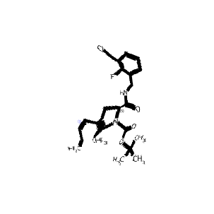 C=C/C=C\C1=C(C)N(C(=O)OC(C)(C)C)[C@H](C(=O)NCc2cccc(Cl)c2F)C1